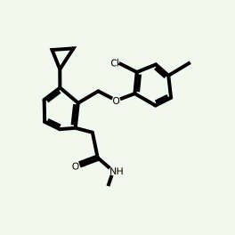 CNC(=O)Cc1cccc(C2CC2)c1COc1ccc(C)cc1Cl